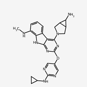 CNc1cccc2c1[nH]c1nc(Oc3cnc(NC4CC4)nc3)nc(N3CC4C(N)C4C3)c12